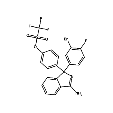 NC1=NC(c2ccc(OS(=O)(=O)C(F)(F)F)cc2)(c2ccc(F)c(Br)c2)c2ccccc21